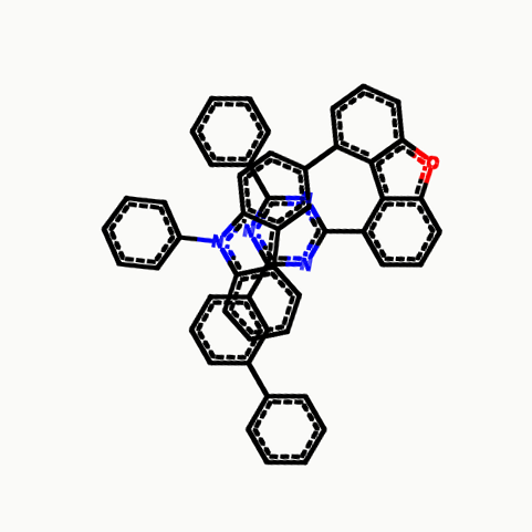 c1ccc(-c2cccc(-c3nc(-c4ccccc4)nc(-c4cccc5oc6cccc(-c7ccc8c(c7)c7ccccc7n8-c7ccccc7)c6c45)n3)c2)cc1